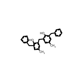 Cc1cc(Cc2ccccc2)c(O)c(Cc2cc(C)cc(Cc3ccccc3)c2O)c1